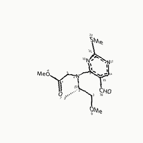 COC[C@H](C)N(CC(=O)OC)c1nc(SC)ncc1C=O